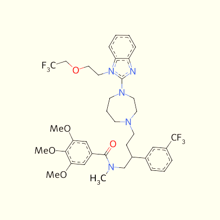 COc1cc(C(=O)N(C)CC(CCN2CCCN(c3nc4ccccc4n3CCOCC(F)(F)F)CC2)c2cccc(C(F)(F)F)c2)cc(OC)c1OC